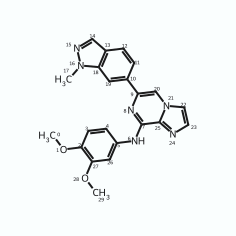 COc1ccc(Nc2nc(-c3ccc4cnn(C)c4c3)cn3ccnc23)cc1OC